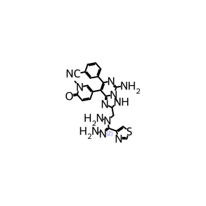 Cn1cc(C2=C(c3cccc(C#N)c3)N=C(N)N3NC(CN(N)/C(=N\N)c4cscn4)N=C23)ccc1=O